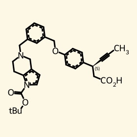 CC#C[C@@H](CC(=O)O)c1ccc(OCc2cccc(CN3CCc4c(ccn4C(=O)OC(C)(C)C)C3)c2)cc1